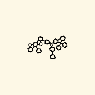 c1ccc(-c2ccc(N(c3ccc(-c4cccc5c4oc4c(-c6ccccc6)c6c(cc45)oc4ccccc46)cc3)c3ccc4c(c3)C(c3ccccc3)(c3ccccc3)c3ccccc3-4)cc2)cc1